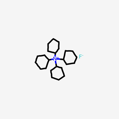 C1CCC([N+](C2CCCCC2)(C2CCCCC2)C2CCCCC2)CC1.[F-]